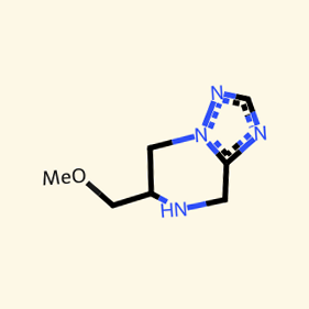 COCC1Cn2ncnc2CN1